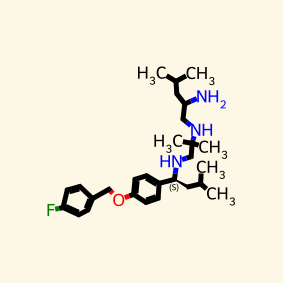 CC(C)CC(N)CNC(C)(C)CN[C@@H](CC(C)C)c1ccc(OCc2ccc(F)cc2)cc1